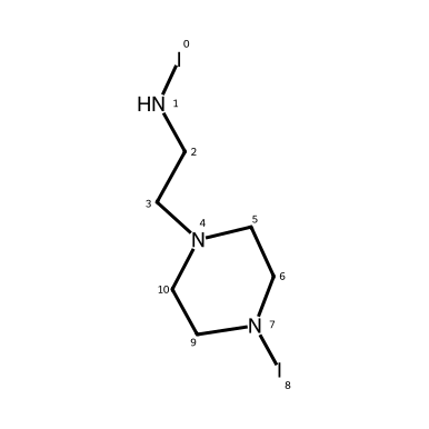 INCCN1CCN(I)CC1